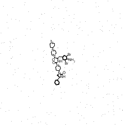 CN1CCC(N2CCN(C(=O)[C@@H](Cc3cc(Br)c(N)c(Br)c3)NC(=O)N3CCC(n4cc(-c5ccccc5)[nH]c4=O)CC3)CC2)CC1